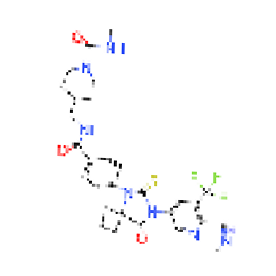 C/N=C\c1ncc(N2C(=O)C3(CCC3)N(c3ccc(C(=O)NCC4CCN(C(=O)NC)CC4)cc3)C2=S)cc1C(F)(F)F